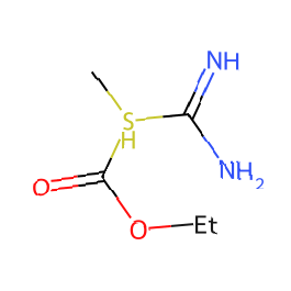 CCOC(=O)[SH](C)C(=N)N